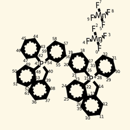 [F][Mn-]([F])([F])[F].[F][Mn-]([F])([F])[F].c1ccc(C[P+](c2ccccc2)(c2ccccc2)c2ccccc2)cc1.c1ccc(C[P+](c2ccccc2)(c2ccccc2)c2ccccc2)cc1